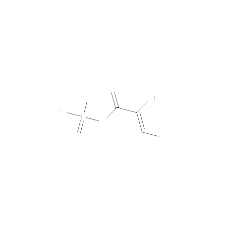 C/C=C(\C)C(=O)OP(=O)(O)O